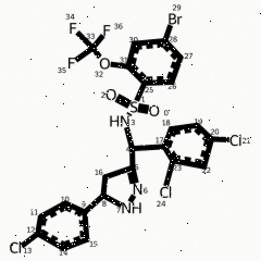 O=S(=O)(NC(C1=NNC(c2ccc(Cl)cc2)C1)c1ccc(Cl)cc1Cl)c1ccc(Br)cc1OC(F)(F)F